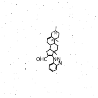 C[C@H]1CC[C@@]2(C)C(=CCC3C2CC[C@]2(C)C(n4nnc5ccccc54)=C(C=O)CC32)C1